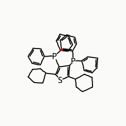 c1ccc(P(c2ccccc2)c2c(C3CCCCC3)sc(C3CCCCC3)c2P(c2ccccc2)c2ccccc2)cc1